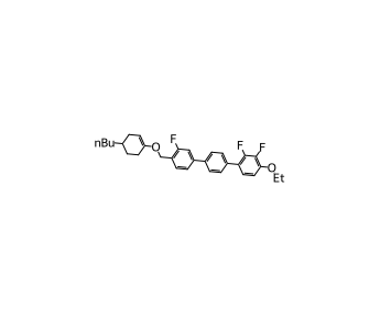 CCCCC1CC=C(OCc2ccc(-c3ccc(-c4ccc(OCC)c(F)c4F)cc3)cc2F)CC1